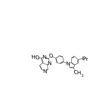 Cc1cn(-c2ccc(Oc3nc(O)c4ccncc4n3)cc2)c2ccc(C(C)C)cc12